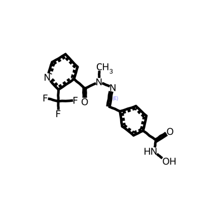 CN(/N=C/c1ccc(C(=O)NO)cc1)C(=O)c1cccnc1C(F)(F)F